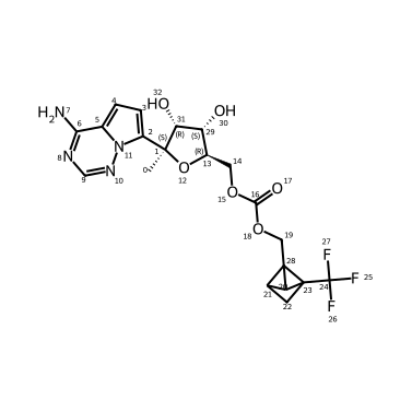 C[C@@]1(c2ccc3c(N)ncnn23)O[C@H](COC(=O)OCC2C3CC2(C(F)(F)F)C3)[C@@H](O)[C@H]1O